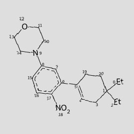 CCC1(CC)CC=C(c2cc(N3CCOCC3)ccc2[N+](=O)[O-])CC1